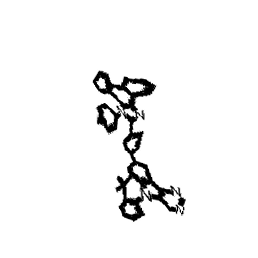 CC1(C)c2ccccc2-n2c3cncnc3c3cc(-c4ccc(-c5nc6c7ccccc7c7ccccc7c6n5-c5ccccc5)cc4)cc1c32